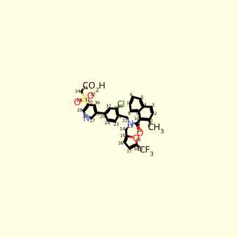 Cc1ccc2ccccc2c1C(=O)N(Cc1ccc(C(F)(F)F)o1)Cc1ccc(-c2cncc(S(=O)(=O)CC(=O)O)c2)cc1Cl